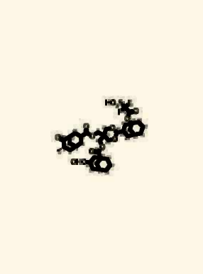 C[C@H]1CC2CC(C(=O)OCC3(COC(=O)C45CCCC(CC(C=O)C4)C5)COC(C4CC5CCCC(OC(=O)C(F)(F)S(=O)(=O)O)(C5)C4)OC3)CC(C2)C1=O